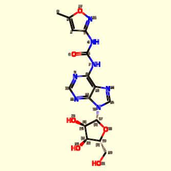 Cc1cc(NC(=O)Nc2ncnc3c2ncn3[C@@H]2O[C@H](CO)[C@@H](O)[C@H]2O)no1